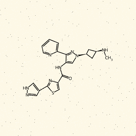 CN[C@H]1C[C@@H](n2cc(NC(=O)c3csc(-c4cn[nH]c4)n3)c(-c3ccccn3)n2)C1